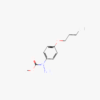 CCCCOc1ccc(N(N)C(=O)OC)cc1